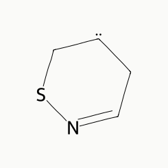 [C]1CC=NSC1